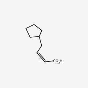 O=C(O)/C=C\CC1CCCC1